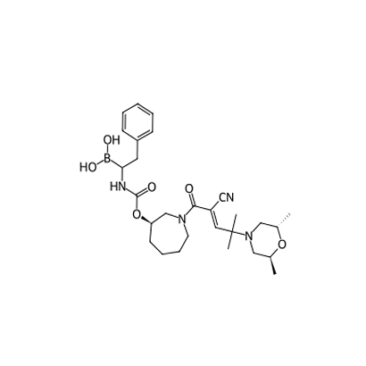 C[C@H]1CN(C(C)(C)C=C(C#N)C(=O)N2CCCC[C@@H](OC(=O)NC(Cc3ccccc3)B(O)O)C2)C[C@H](C)O1